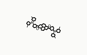 Cc1cccc(N(c2cccc(C)c2)c2ccc3oc4c(cc5ccc6c7oc8ccc(N(c9cccc(C)c9)c9cccc(C)c9)cc8c7cc7ccc4c5c76)c3c2)c1